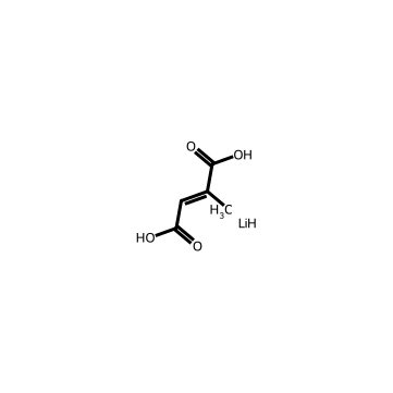 C/C(=C\C(=O)O)C(=O)O.[LiH]